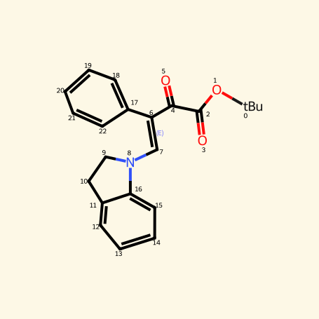 CC(C)(C)OC(=O)C(=O)/C(=C/N1CCc2ccccc21)c1ccccc1